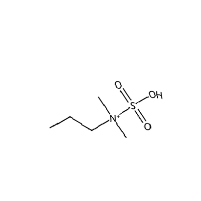 CCC[N+](C)(C)S(=O)(=O)O